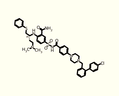 CN(C)CC[C@H](CSc1ccccc1)Nc1ccc(S(=O)(=O)NC(=O)c2ccc(N3CCN(Cc4ccccc4-c4ccc(Cl)cc4)CC3)cc2)cc1C(N)=O